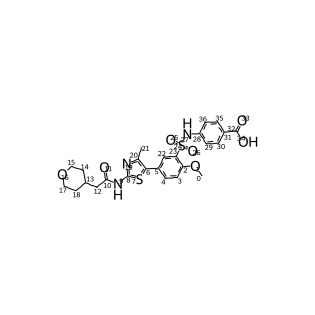 COc1ccc(-c2sc(NC(=O)CC3CCOCC3)nc2C)cc1S(=O)(=O)Nc1ccc(C(=O)O)cc1